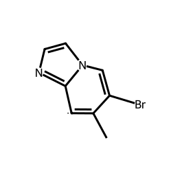 Cc1[c]c2nccn2cc1Br